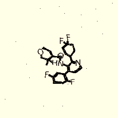 CC1(C)COCCC1C(=O)Nc1c(-c2cc(F)ccc2F)ccnc1C1CCC(F)(F)CC1